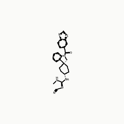 CN/C(=N\C#N)N[C@H]1CC[C@](CNC(=O)c2ccc3ncsc3c2)(c2ccccc2)CC1